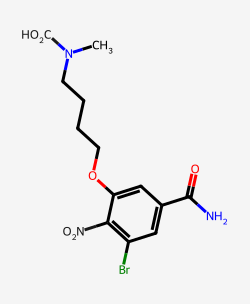 CN(CCCCOc1cc(C(N)=O)cc(Br)c1[N+](=O)[O-])C(=O)O